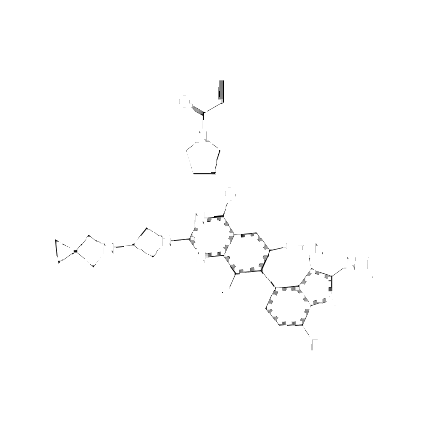 C=CC(=O)N1CC[C@@H](Oc2nc(N3CC(N4CC5(CC5)C4)C3)nc3c(F)c(-c4ccc(F)c5sc(N)c(C#N)c45)c(C(F)(F)F)cc23)C1